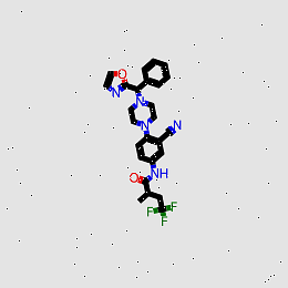 CC(CC(F)(F)F)C(=O)Nc1ccc(N2CCN(C(c3ccccc3)c3ncco3)CC2)c(C#N)c1